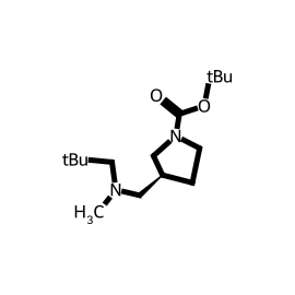 CN(C[C@@H]1CCN(C(=O)OC(C)(C)C)C1)CC(C)(C)C